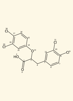 O=C(O)C(Cc1ccc(Cl)c(Cl)c1)Oc1ccc(Cl)c(Cl)c1